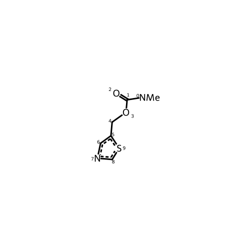 CNC(=O)OCc1cncs1